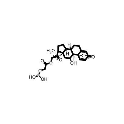 C[C@]12C=CC(=O)C=C1CC[C@@H]1[C@@H]2[C@@H](O)C[C@@]2(C)[C@H]1CC[C@]2(C)C(=O)COC(=O)CON(O)O